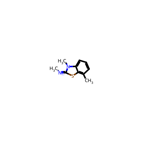 C/N=c1/sc2c(C)cccc2n1C